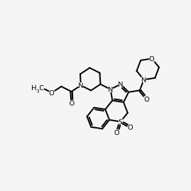 COCC(=O)N1CCCC(n2nc(C(=O)N3CCOCC3)c3c2-c2ccccc2S(=O)(=O)C3)C1